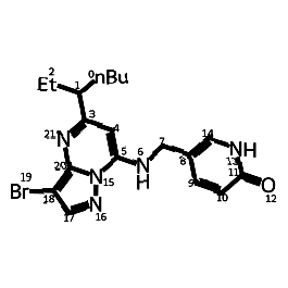 CCCCC(CC)c1cc(NCc2ccc(=O)[nH]c2)n2ncc(Br)c2n1